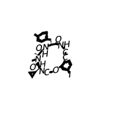 Cc1ccc(C[C@H]2NC(=O)[C@@H](C)N(C)C(=O)[C@H](C3CC3)NCCOc3cc(I)ccc3CCCNC2=O)cc1